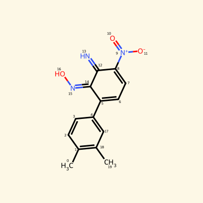 Cc1ccc(C2=CC=C([N+](=O)[O-])C(=N)/C2=N\O)cc1C